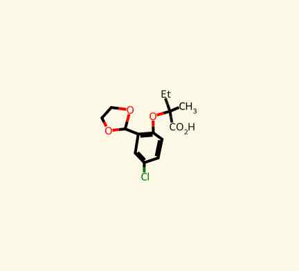 CCC(C)(Oc1ccc(Cl)cc1C1OCCO1)C(=O)O